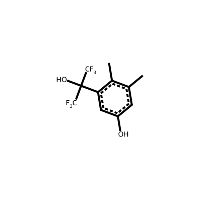 Cc1cc(O)cc(C(O)(C(F)(F)F)C(F)(F)F)c1C